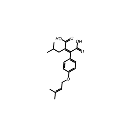 CC(C)=CCOc1ccc(/C(C(=O)O)=C(\CC(C)C)C(=O)O)cc1